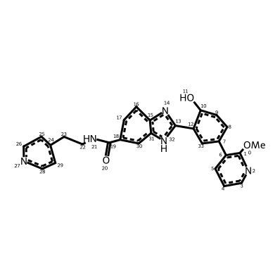 COc1ncccc1-c1ccc(O)c(-c2nc3ccc(C(=O)NCCc4ccncc4)cc3[nH]2)c1